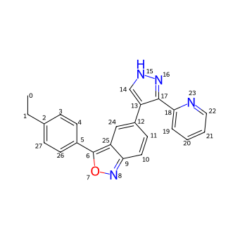 CCc1ccc(-c2onc3ccc(-c4c[nH]nc4-c4ccccn4)cc23)cc1